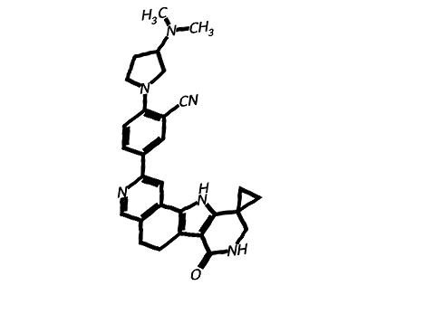 CN(C)C1CCN(c2ccc(-c3cc4c(cn3)CCc3c-4[nH]c4c3C(=O)NCC43CC3)cc2C#N)C1